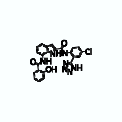 O=C(Nc1ccc(Cl)cc1-c1nnn[nH]1)c1cc2cccc(NC(=O)c3ccccc3O)c2[nH]1